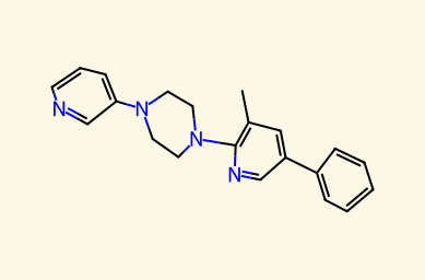 Cc1cc(-c2ccccc2)cnc1N1CCN(c2cccnc2)CC1